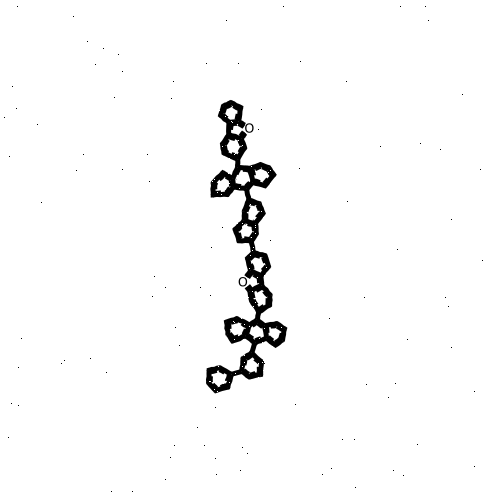 c1ccc(-c2cccc(-c3c4ccccc4c(-c4ccc5c(c4)oc4cc(-c6ccc7cc(-c8c9ccccc9c(-c9ccc%10c(c9)oc9ccccc9%10)c9ccccc89)ccc7c6)ccc45)c4ccccc34)c2)cc1